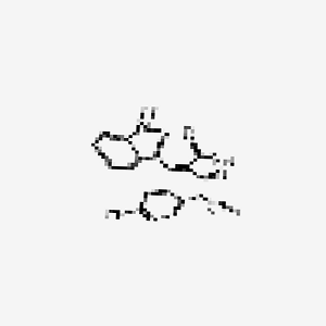 CC(C1=NNC(=O)/C1=C\c1c[nH]c2ccccc12)c1ccc(Cl)cc1